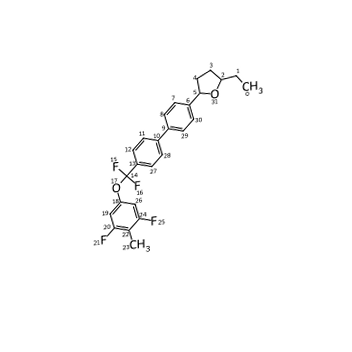 CCC1CCC(c2ccc(-c3ccc(C(F)(F)Oc4cc(F)c(C)c(F)c4)cc3)cc2)O1